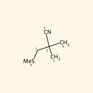 CSCC(C)(C)C#N